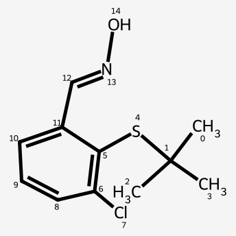 CC(C)(C)Sc1c(Cl)cccc1C=NO